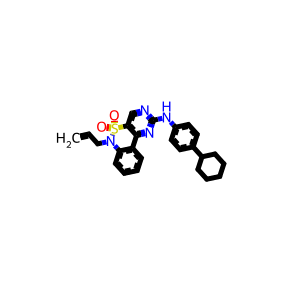 C=CCN1c2ccccc2-c2nc(Nc3ccc(C4CCCCC4)cc3)ncc2S1(=O)=O